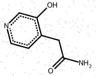 NC(=O)Cc1ccncc1O